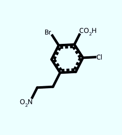 O=C(O)c1c(Cl)cc(CC[N+](=O)[O-])cc1Br